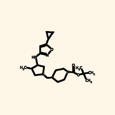 CC1CN(CC2CCN(C(=O)OC(C)(C)C)CC2)CC1Nc1cc(C2CC2)on1